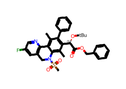 Cc1c(-c2ccccc2)c([C@H](OC(C)(C)C)C(=O)OCc2ccccc2)c(C)c2c1-c1ncc(F)cc1CN2S(C)(=O)=O